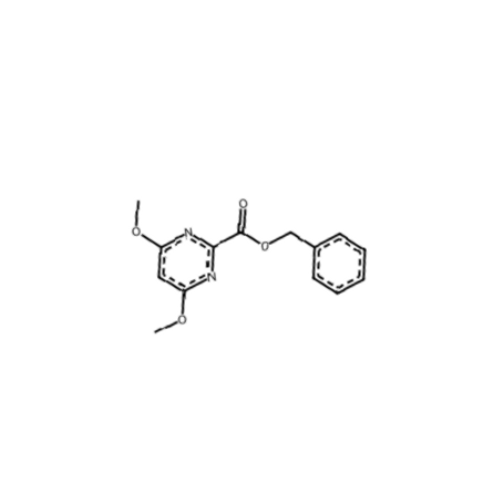 COc1cc(OC)nc(C(=O)OCc2ccccc2)n1